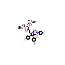 COC(=O)C[C@@H](CC(=O)/C=C/c1c(-c2ccc(F)cc2)c(-c2ccc(F)cc2)c(C(=O)Nc2ccc(F)cc2)n1C(C)C)O[Si](C)(C)C(C)(C)C